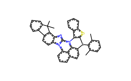 Cc1cccc(C)c1B1c2sc3ccccc3c2-n2c3c1ccc1cccc(c13)n1c3ccc4c(c3nc21)C(C)(C)c1ccccc1-4